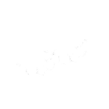 Cc1ccc2oc3ccc([Si](C)(Cl)c4ccc5oc6ccc(C)cc6c5c4)cc3c2c1